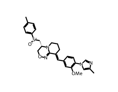 COc1cc(/C=C2\CCCN3C2=NOC[C@@H]3C[S+]([O-])c2ccc(C)cc2)ccc1-n1cnc(C)c1